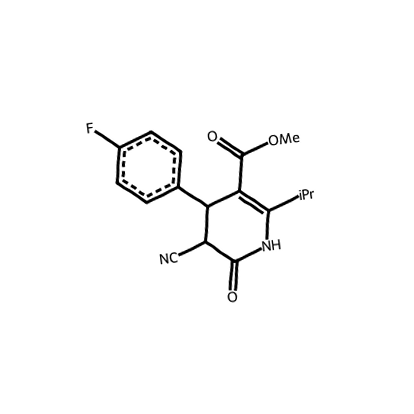 COC(=O)C1=C(C(C)C)NC(=O)C(C#N)C1c1ccc(F)cc1